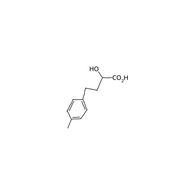 Cc1ccc(CCC(O)C(=O)O)cc1